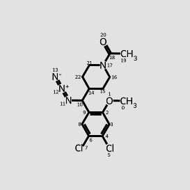 COc1cc(Cl)c(Cl)cc1C(N=[N+]=[N-])C1CCN(C(C)=O)CC1